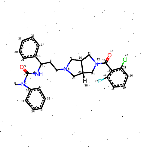 CN(C(=O)NC(CCN1CC2CN(C(=O)c3c(F)cccc3Cl)C[C@@H]2C1)c1ccccc1)c1ccccc1